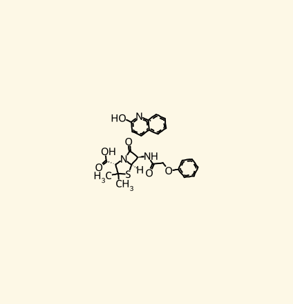 CC1(C)S[C@@H]2[C@H](NC(=O)COc3ccccc3)C(=O)N2[C@H]1C(=O)O.Oc1ccc2ccccc2n1